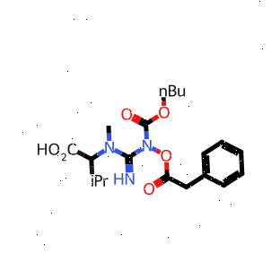 CCCCOC(=O)N(OC(=O)Cc1ccccc1)C(=N)N(C)C(C(=O)O)C(C)C